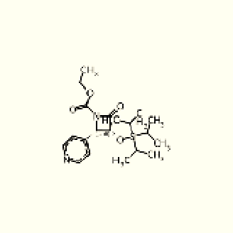 CCOC(=O)N1C(=O)[C@H](O[Si](C(C)C)(C(C)C)C(C)C)[C@@H]1c1ccncc1